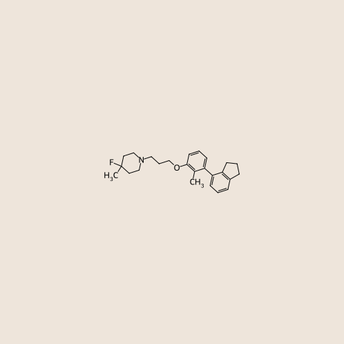 Cc1c(OCCCN2CCC(C)(F)CC2)cccc1-c1cccc2c1CCC2